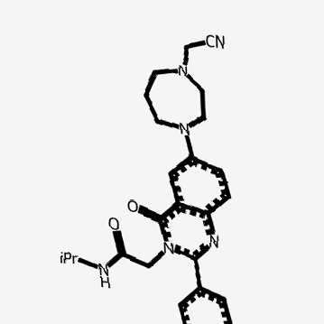 COc1cccc(-c2nc3ccc(N4CCCN(CC#N)CC4)cc3c(=O)n2CC(=O)NC(C)C)c1